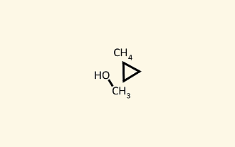 C.C1CC1.CO